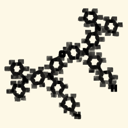 [3H]c1ccc(-c2ccc(N(c3ccc(Oc4ccc(N(c5ccc(-c6ccc([3H])cc6)cc5)c5ccc(N(c6ccccc6)c6ccccc6)cc5)cc4)cc3)c3ccc(N(c4ccccc4)c4ccccc4)cc3)cc2)cc1